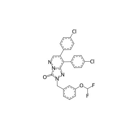 O=c1n(Cc2cccc(OC(F)F)c2)nc2c(-c3ccc(Cl)cc3)c(-c3ccc(Cl)cc3)cnn12